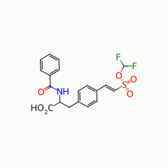 O=C(NC(Cc1ccc(C=CS(=O)(=O)OC(F)F)cc1)C(=O)O)c1ccccc1